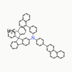 CC1CC=CC=C1C1(c2ccccc2)c2ccccc2-c2ccc(N(c3ccc(-c4ccc5c(ccc6ccccc65)c4)cc3)c3cccc(-c4cccc5ccccc45)c3)cc21